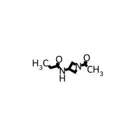 CCC(=O)NC1CN(C(C)=O)C1